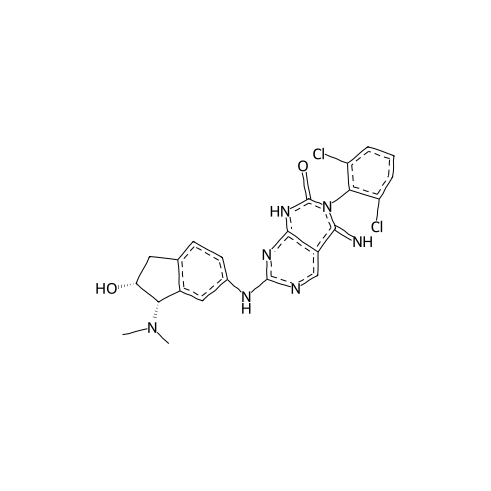 CN(C)[C@H]1c2cc(Nc3ncc4c(=N)n(-c5c(Cl)cccc5Cl)c(=O)[nH]c4n3)ccc2C[C@H]1O